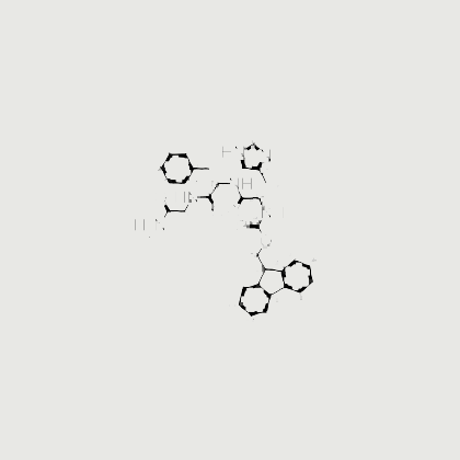 NC(=O)CNC(=O)[C@H](Cc1ccccc1)NC(=O)[C@H](Cc1c[nH]cn1)NC(=O)OCC1c2ccccc2-c2ccccc21